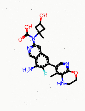 Cc1c(-c2cc3cc(N(C(=O)O)C4(C)CC(O)C4)ncc3c(N)c2F)cnc2c1NCCO2